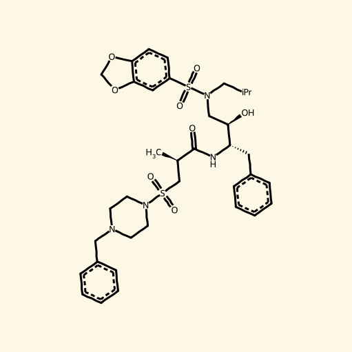 CC(C)CN(C[C@@H](O)[C@H](Cc1ccccc1)NC(=O)[C@H](C)CS(=O)(=O)N1CCN(Cc2ccccc2)CC1)S(=O)(=O)c1ccc2c(c1)OCO2